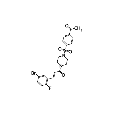 CC(=O)c1ccc(S(=O)(=O)N2CCN(C(=O)C=Cc3cc(Br)ccc3F)CC2)cc1